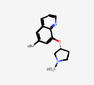 CCCCc1cc(O[C@@H]2CCN(C(=O)O)C2)c2ncccc2c1